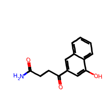 NC(=O)CCC(=O)c1cc(O)c2ccccc2c1